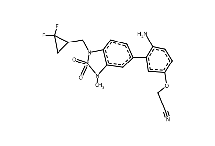 CN1c2cc(-c3cc(OCC#N)ccc3N)ccc2N(CC2CC2(F)F)S1(=O)=O